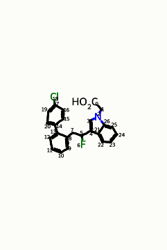 O=C(O)Cn1cc(C(F)Cc2ccccc2-c2ccc(Cl)cc2)c2ccccc21